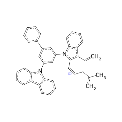 C=Cc1c(/C=C\CC(=C)C)n(-c2cc(-c3ccccc3)cc(-n3c4ccccc4c4ccccc43)c2)c2ccccc12